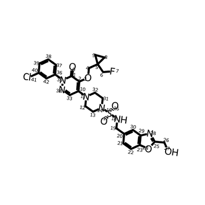 O=c1c(OCC2(CF)CC2)c(N2CCN(S(=O)(=O)NCc3ccc4oc(CO)nc4c3)CC2)cnn1-c1cccc(Cl)c1